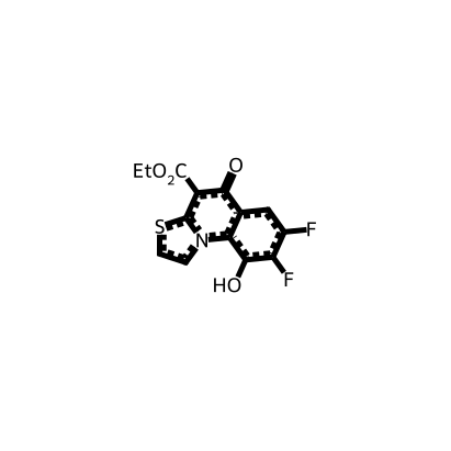 CCOC(=O)c1c(=O)c2cc(F)c(F)c(O)c2n2ccsc12